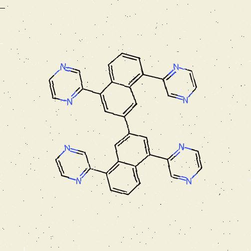 c1cc(-c2cnccn2)c2cc(-c3cc(-c4cnccn4)c4cccc(-c5cnccn5)c4c3)cc(-c3cnccn3)c2c1